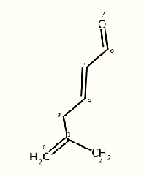 C=C(C)CC=CC=O